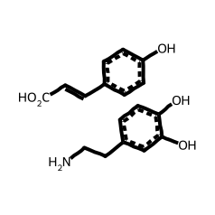 NCCc1ccc(O)c(O)c1.O=C(O)/C=C/c1ccc(O)cc1